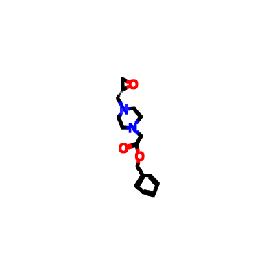 O=C(CN1CCN(C[C@@H]2CO2)CC1)OCc1ccccc1